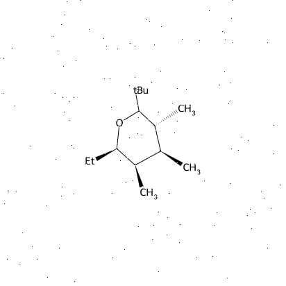 CC[C@H]1OC(C(C)(C)C)[C@H](C)[C@@H](C)[C@H]1C